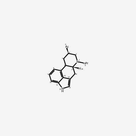 CCCN1C[C@H](C(C)=O)CC2c3cccc4[nH]cc(c34)C[C@H]21